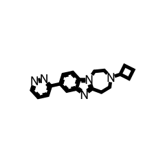 c1cnnc(-c2ccc3c(c2)nc2n3CCN(C3CCC3)CC2)c1